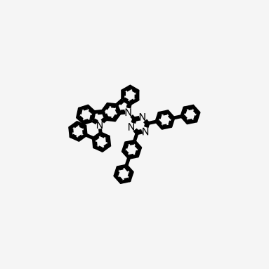 c1ccc(-c2ccc(-c3nc(-c4ccc(-c5ccccc5)cc4)nc(-n4c5ccccc5c5cc6c7ccccc7n(-c7ccccc7-c7ccccc7)c6cc54)n3)cc2)cc1